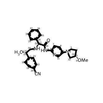 CO[C@H]1CCN(c2ccc(NC(=O)[C@@H](NC[C@@H](C)c3ccc(C#N)cc3)c3ccccc3)nc2)C1